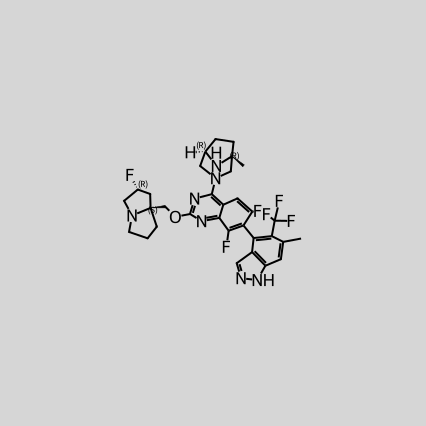 Cc1cc2[nH]ncc2c(-c2c(F)cc3c(N4C[C@H]5CC[C@](C)(C4)N5)nc(OC[C@@]45CCCN4C[C@H](F)C5)nc3c2F)c1C(F)(F)F